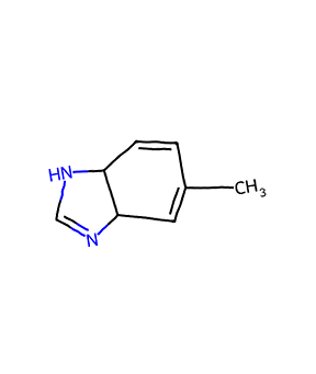 CC1=CC2N=CNC2C=C1